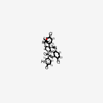 CC(C)(C)C[C@@H]1CN(S(=O)(=O)C2C=CC(=O)NC2)[C@H](c2cccc(Cl)c2F)[C@@]1(C#N)c1ccc(Cl)cc1F